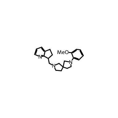 COc1ccccc1N1CCC2(CCN(CC3CCc4cccnc43)C2)C1